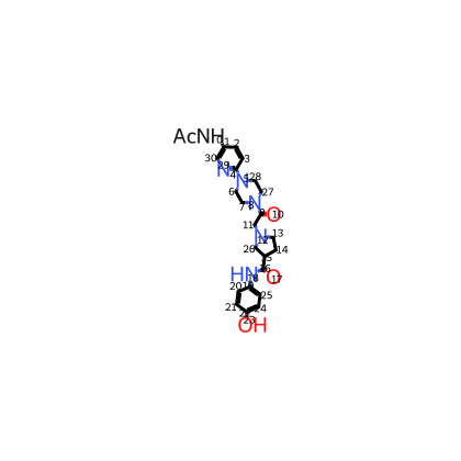 CC(=O)Nc1ccc(N2CCN(C(=O)CN3CCC(C(=O)Nc4ccc(O)cc4)C3)CC2)nc1